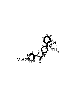 COc1ncc(N2C[C@]3(CC[C@](c4ccccc4)(N(C)C)CC3)NC2=O)cn1